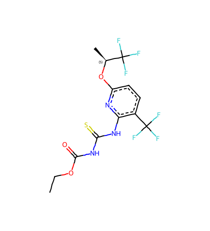 CCOC(=O)NC(=S)Nc1nc(O[C@@H](C)C(F)(F)F)ccc1C(F)(F)F